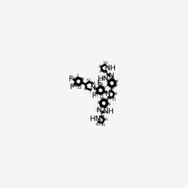 Fc1ccc(C2CCN(c3c(F)cc(N4[C@@H](c5ccc6nc([C@@H]7CCCN7)[nH]c6c5)CC[C@@H]4c4ccc5nc([C@@H]6CCCN6)[nH]c5c4)cc3F)CC2)cc1F